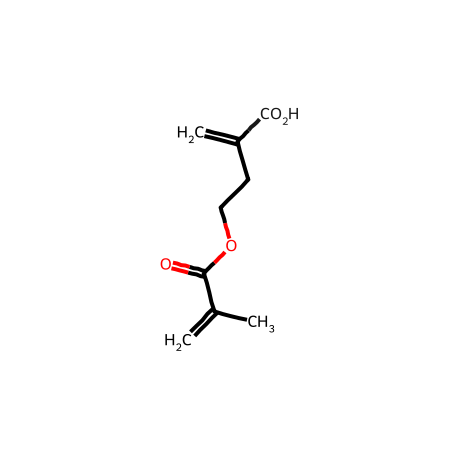 C=C(C)C(=O)OCCC(=C)C(=O)O